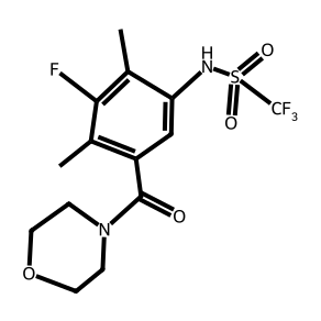 Cc1c(NS(=O)(=O)C(F)(F)F)cc(C(=O)N2CCOCC2)c(C)c1F